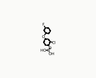 OB(O)Oc1ccc(Oc2cccc(F)c2)cc1Cl